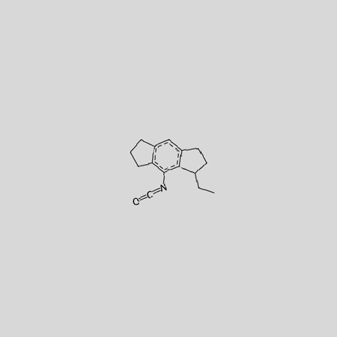 CCC1CCc2cc3c(c(N=C=O)c21)CCC3